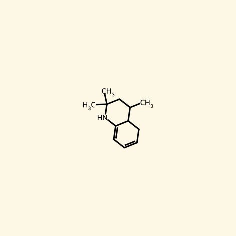 CC1CC(C)(C)NC2=CC=CCC21